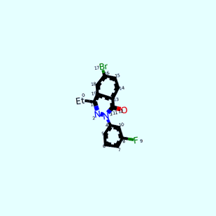 CCc1nn(-c2cccc(F)c2)c(=O)c2ccc(Br)cc12